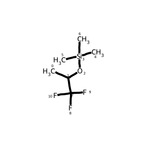 C[C](O[Si](C)(C)C)C(F)(F)F